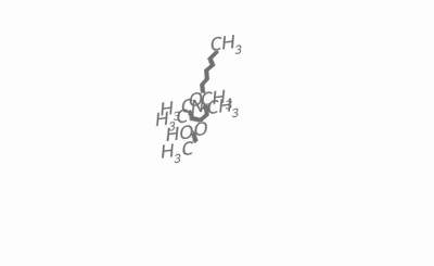 CCCCCCCCON1C(C)(C)CC(OC(O)CC)CC1(C)C